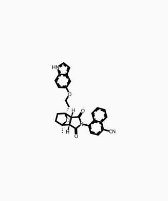 C[C@]12CC[C@](CCOc3ccc4[nH]ccc4c3)(O1)[C@@H]1C(=O)N(c3ccc(C#N)c4ccccc34)C(=O)[C@@H]12